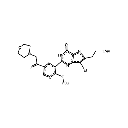 CCCCOc1ncc(C(=O)CN2CCOCC2)cc1-c1nc2c(CC)n(CCOC)nc2c(=O)[nH]1